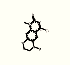 CCN1CCOc2cc3c(cc21)c(C(F)(F)F)cc(=O)n3C